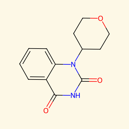 O=c1[nH]c(=O)n(C2CCOCC2)c2ccccc12